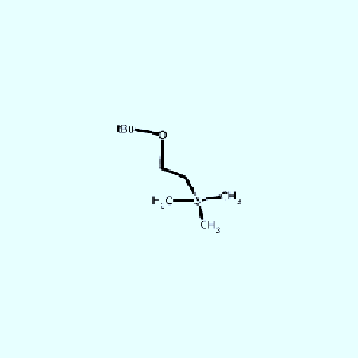 CC(C)(C)OCCS(C)(C)C